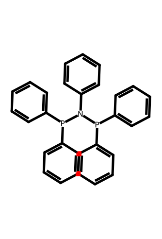 c1ccc(N(P(c2ccccc2)c2ccccc2)P(c2ccccc2)c2ccccc2)cc1